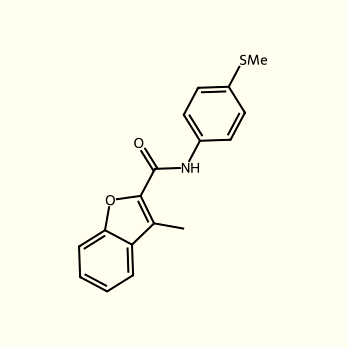 CSc1ccc(NC(=O)c2oc3ccccc3c2C)cc1